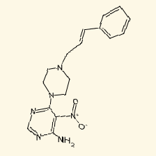 Nc1ncnc(N2CCN(C/C=C/c3ccccc3)CC2)c1[N+](=O)[O-]